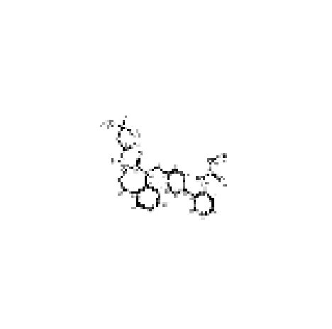 CC(C)(N)CC(=O)N[C@@H]1CCc2ccccc2N(Cc2ccc(-c3ccccc3NC(=O)NO)cc2)C1=O